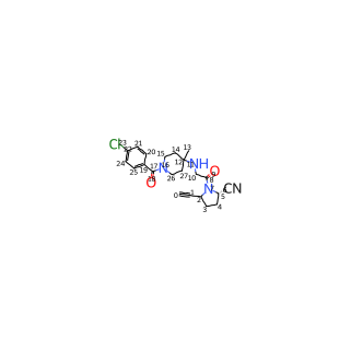 C#CC1CC[C@@H](C#N)N1C(=O)CNC1(C)CCN(C(=O)c2ccc(Cl)cc2)CC1